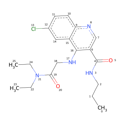 CCCNC(=O)c1cnc2ccc(Cl)cc2c1NCC(=O)N(CC)CC